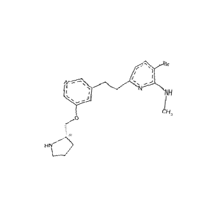 CNc1nc(CCc2cncc(OC[C@@H]3CCCN3)c2)ccc1Br